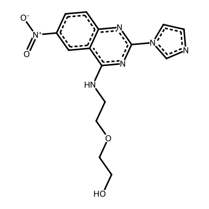 O=[N+]([O-])c1ccc2nc(-n3ccnc3)nc(NCCOCCO)c2c1